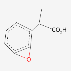 CC(C(=O)O)c1cccc2c1O2